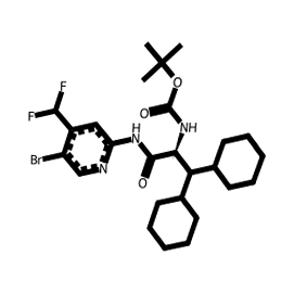 CC(C)(C)OC(=O)N[C@H](C(=O)Nc1cc(C(F)F)c(Br)cn1)C(C1CCCCC1)C1CCCCC1